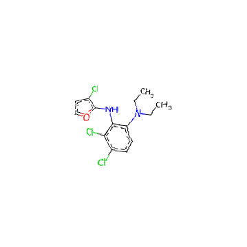 CCN(CC)c1ccc(Cl)c(Cl)c1Nc1occc1Cl